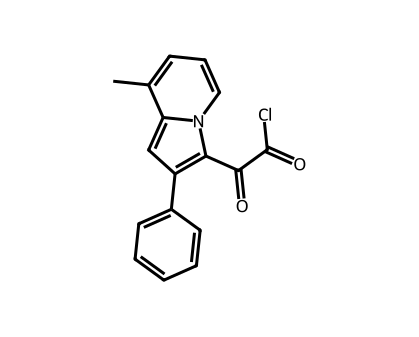 Cc1cccn2c(C(=O)C(=O)Cl)c(-c3ccccc3)cc12